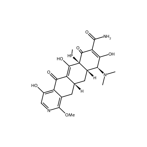 COc1ncc(O)c2c1C[C@H]1C[C@H]3[C@H](N(C)C)C(O)=C(C(N)=O)C(=O)[C@@]3(PC)C(O)=C1C2=O